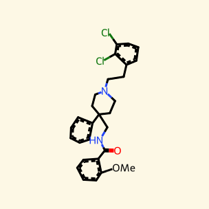 COc1ccccc1C(=O)NCC1(c2ccccc2)CCN(CCc2cccc(Cl)c2Cl)CC1